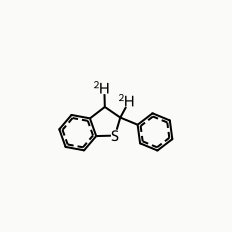 [2H]C1c2ccccc2SC1([2H])c1ccccc1